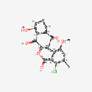 COc1cc(C)c(Cl)c2c(=O)oc3c(c12)C(=O)c1cccc(O)c1C3=O